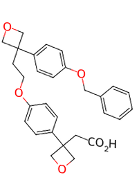 O=C(O)CC1(c2ccc(OCCC3(c4ccc(OCc5ccccc5)cc4)COC3)cc2)COC1